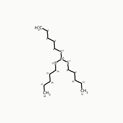 CCCCCSP(SCCCCC)SCCCCC